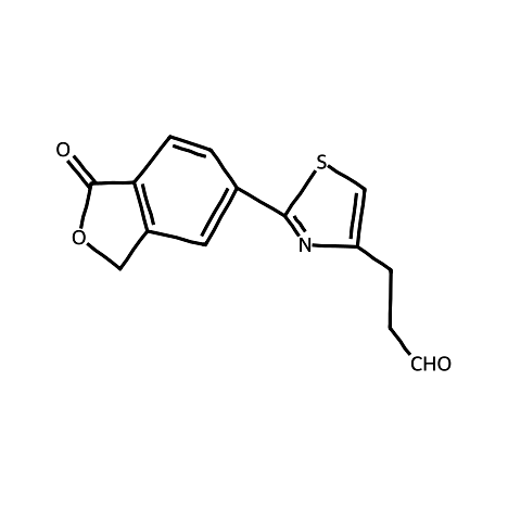 O=CCCc1csc(-c2ccc3c(c2)COC3=O)n1